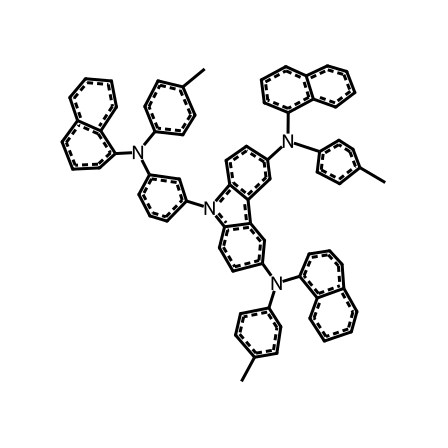 Cc1ccc(N(c2cccc(-n3c4ccc(N(c5ccc(C)cc5)c5cccc6ccccc56)cc4c4cc(N(c5ccc(C)cc5)c5cccc6ccccc56)ccc43)c2)c2cccc3ccccc23)cc1